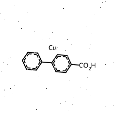 O=C(O)c1ccc(-c2ccccc2)cc1.[Cu]